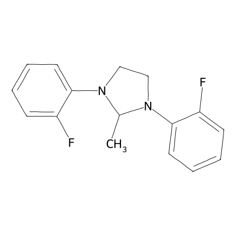 CC1N(c2ccccc2F)CCN1c1ccccc1F